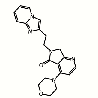 O=C1c2c(N3CCOCC3)ccnc2CN1CCc1cn2ccccc2n1